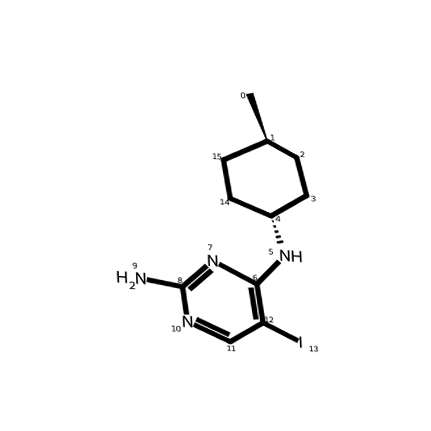 C[C@H]1CC[C@H](Nc2nc(N)ncc2I)CC1